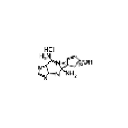 Cl.NC1=NC(N)([C@H]2C=C[C@@H](O)C2)N=C2N=CN=C12